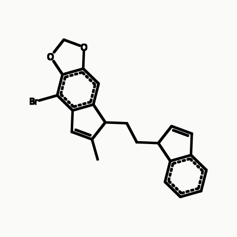 CC1=Cc2c(cc3c(c2Br)OCO3)C1CCC1C=Cc2ccccc21